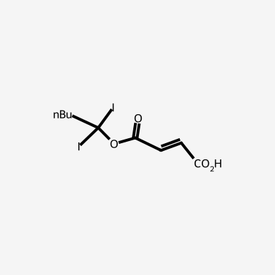 CCCCC(I)(I)OC(=O)C=CC(=O)O